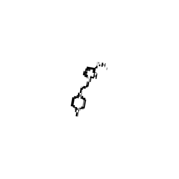 CN1CCN(CCn2ccc(N)n2)CC1